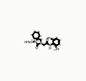 CCCCCCN1C(=O)N(CC(=O)Nc2c(C(C)C)cccc2C(C)C)CC12CCCCC2